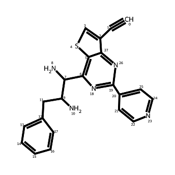 C#Cc1csc2c(C(N)C(N)Cc3ccccc3)nc(-c3ccncc3)nc12